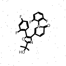 CC(C)(O)c1nc(-c2ccc(=O)n(-c3c(F)cccc3F)c2)c(-c2ccc(F)cc2F)o1